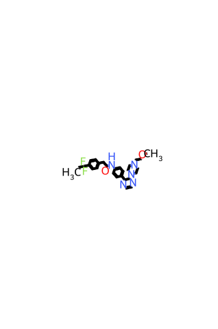 CCC(F)(F)c1ccc(CC(=O)Nc2ccc(-c3nccnc3N3CCN(CCOC)CC3)cc2)cc1